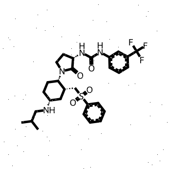 CC(C)CN[C@@H]1CC[C@H](N2CC[C@H](NC(=O)Nc3cccc(C(F)(F)F)c3)C2=O)[C@H](CS(=O)(=O)c2ccccc2)C1